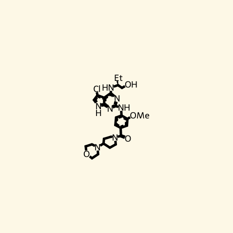 CC[C@@H](CO)Nc1nc(Nc2ccc(C(=O)N3CCC(N4CCOCC4)CC3)cc2OC)nc2[nH]cc(Cl)c12